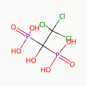 O=P(O)(O)C(O)(C(Cl)(Cl)Cl)P(=O)(O)O